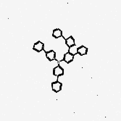 c1ccc(-c2ccc(N(c3ccc(-c4ccccc4)cc3)c3ccc(-c4ccccc4)c(-c4cccc(-c5ccccc5)c4)c3)cc2)cc1